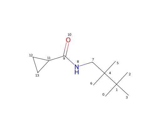 CC(C)(C)C(C)(C)CNC(=O)C1CC1